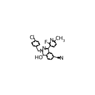 Cc1ccc(C2=NN(Cc3ccc(Cl)cc3)C(O)c3ccc(C#N)cc32)c(F)n1